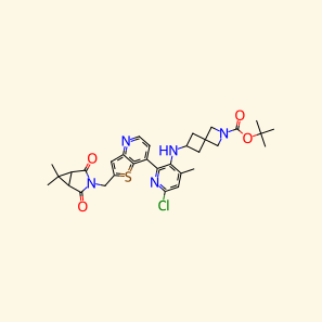 Cc1cc(Cl)nc(-c2ccnc3cc(CN4C(=O)C5C(C4=O)C5(C)C)sc23)c1NC1CC2(C1)CN(C(=O)OC(C)(C)C)C2